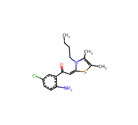 CCCCN1C(=CC(=O)c2cc(Cl)ccc2N)SC(C)=C1C